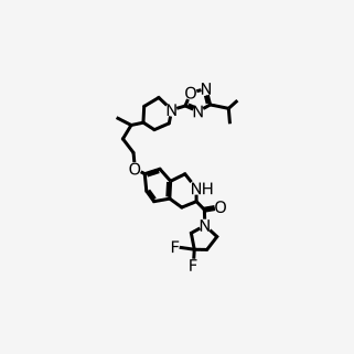 CC(C)c1noc(N2CCC(C(C)CCOc3ccc4c(c3)CNC(C(=O)N3CCC(F)(F)C3)C4)CC2)n1